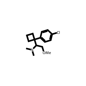 COCC(N(C)C)C1(c2ccc(Cl)cc2)CCC1